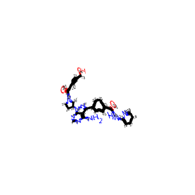 Nc1ncnc2c1c(-c1ccc(C(=O)Nc3ccccn3)cc1)nn2C1CCN(C(=O)C#CCO)C1